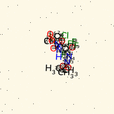 CCS(=O)(=O)c1ccc(Cl)cc1Cn1c(=O)[nH]c2c(F)c(CN3CCN(C(=O)OC(C)(C)C)CC3)c(OC(F)(F)F)cc2c1=O